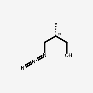 C[C@H](CO)CN=[N+]=[N-]